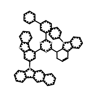 C1=Cc2c(n(-c3ccccc3)c3ccccc23)C(c2nc(-c3cccc(-c4ccccc4)c3)nc(-c3cc(-n4c5ccccc5c5cc6ccccc6cc54)cc4sc5ccccc5c34)n2)C1